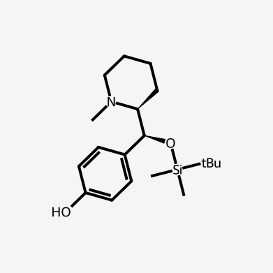 CN1CCCC[C@H]1[C@@H](O[Si](C)(C)C(C)(C)C)c1ccc(O)cc1